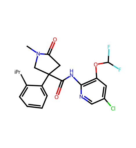 CC(C)c1ccccc1C1(C(=O)Nc2ncc(Cl)cc2OC(F)F)CC(=O)N(C)C1